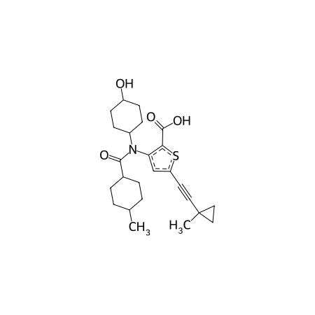 CC1CCC(C(=O)N(c2cc(C#CC3(C)CC3)sc2C(=O)O)C2CCC(O)CC2)CC1